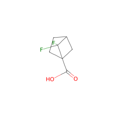 O=C(O)C12CCC(C1)C2(F)F